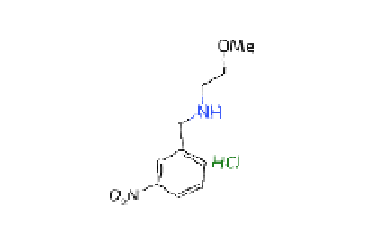 COCCNCc1cccc([N+](=O)[O-])c1.Cl